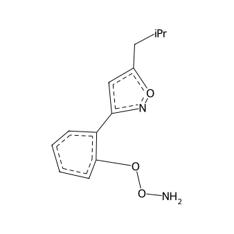 CC(C)Cc1cc(-c2ccccc2OON)no1